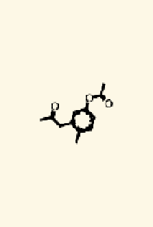 CC(=O)Cc1cc(OC(C)=O)ccc1C